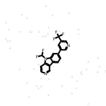 FC(F)n1c2ccncc2c2ccc(-c3cncc(C(F)(F)F)c3)cc21